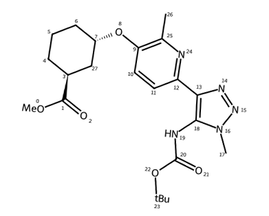 COC(=O)[C@H]1CCC[C@H](Oc2ccc(-c3nnn(C)c3NC(=O)OC(C)(C)C)nc2C)C1